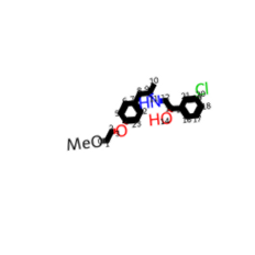 COCCOc1ccc(CC(C)NCC(O)c2cccc(Cl)c2)cc1